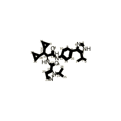 CC(C)c1[nH]cnc1-c1ccc(NC(=O)[C@@H](NC(=O)c2ccnn2C(C)C)C(C2CC2)C2CC2)cc1